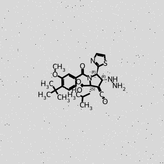 COc1cc(C(=O)N2[C@@H](c3nccs3)[C@H](NN)C(=C=O)[C@@]2(CC(C)C)C(=O)O)ccc1C(C)(C)C